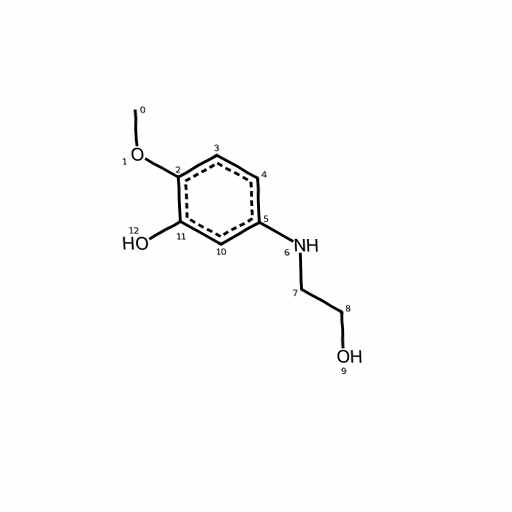 COc1ccc(NCCO)cc1O